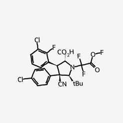 CC(C)(C)[C@@H]1N(C(F)(F)C(=O)OF)[C@@H](C(=O)O)[C@H](c2cccc(Cl)c2F)[C@@]1(C#N)c1ccc(Cl)cc1